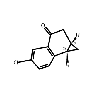 O=C1C[C@@H]2C[C@@H]2c2ccc(Cl)cc21